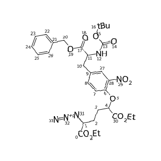 CCOC(=O)C(CCC(Oc1ccc(CC(NC(=O)OC(C)(C)C)C(=O)OCc2ccccc2)cc1[N+](=O)[O-])C(=O)OCC)N=[N+]=[N-]